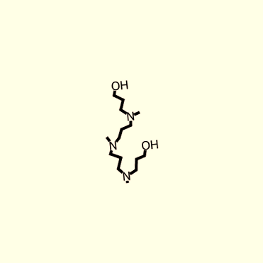 CN(CCCO)CCCN(C)CCCN(C)CCCO